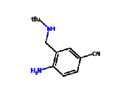 CC(C)(C)NCc1cc(C#N)ccc1N